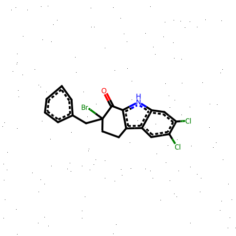 O=C1c2[nH]c3cc(Cl)c(Cl)cc3c2CCC1(Br)Cc1ccccc1